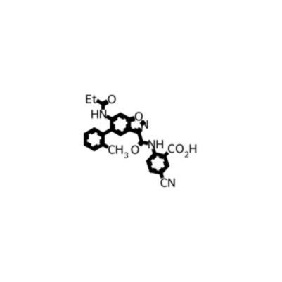 CCC(=O)Nc1cc2onc(C(=O)Nc3ccc(C#N)cc3C(=O)O)c2cc1-c1ccccc1C